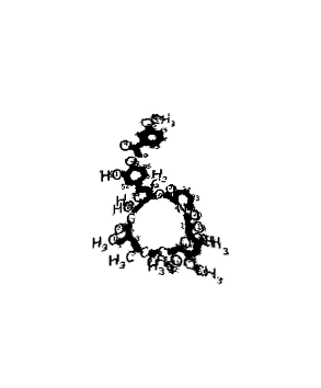 CCC1/C=C(\C)CC(C)CC(OC)C2OC(O)(C(=O)C(=O)N3CCCCC3C(=O)OC(C(C)=CC3CCC(OCC(=O)c4cccc(OC)c4)C(O)C3)C(C)C(O)CC1=O)C(C)CC2OC